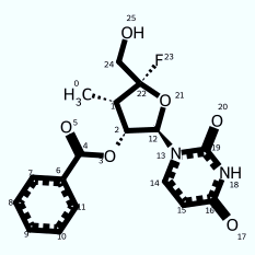 C[C@H]1[C@@H](OC(=O)c2ccccc2)[C@H](n2ccc(=O)[nH]c2=O)O[C@]1(F)CO